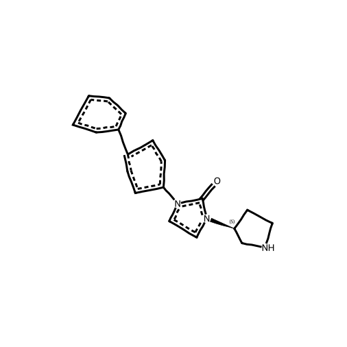 O=c1n(-c2ccc(-c3ccccc3)cc2)ccn1[C@H]1CCNC1